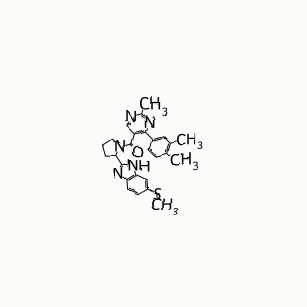 CSc1ccc2nc(C3CCCN3C(=O)c3cnc(C)nc3-c3ccc(C)c(C)c3)[nH]c2c1